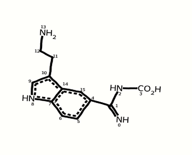 N=C(NC(=O)O)c1ccc2[nH]cc(CCN)c2c1